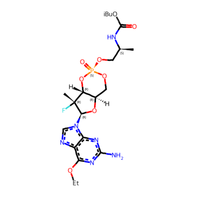 CCOc1nc(N)nc2c1ncn2[C@@H]1O[C@@H]2CO[P@](=O)(OC[C@H](C)NC(=O)OCC(C)C)O[C@H]2[C@@]1(C)F